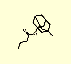 CCCC(=O)OC12CC3CC(CC(C)(C3)C1)C2